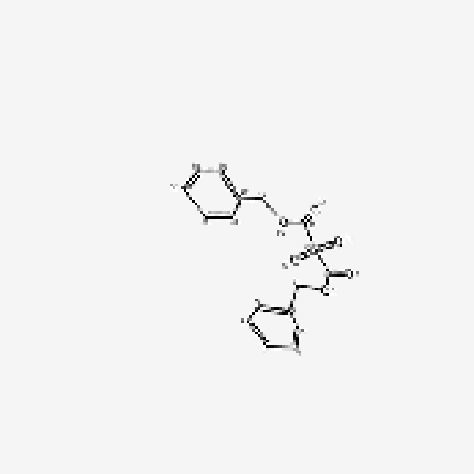 O=C(OCc1ccccc1)S(=O)(=O)C(=O)OCc1ccccc1